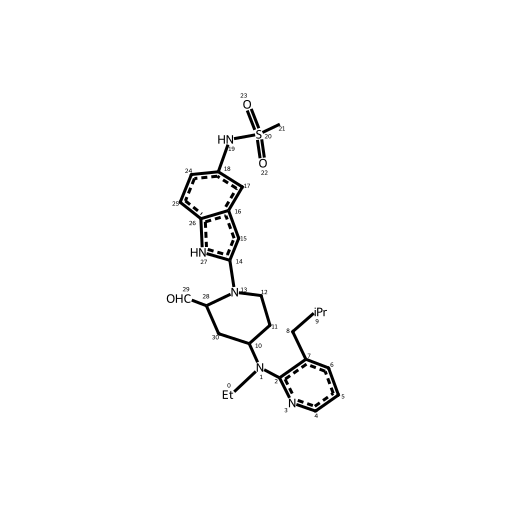 CCN(c1ncccc1CC(C)C)C1CCN(c2cc3cc(NS(C)(=O)=O)ccc3[nH]2)C(C=O)C1